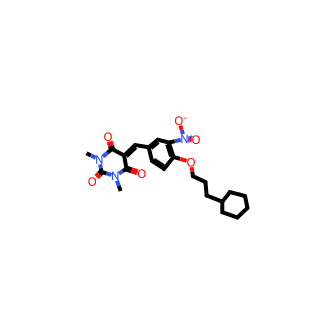 CN1C(=O)C(=Cc2ccc(OCCCC3CCCCC3)c([N+](=O)[O-])c2)C(=O)N(C)C1=O